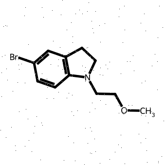 COCCN1CCc2cc(Br)ccc21